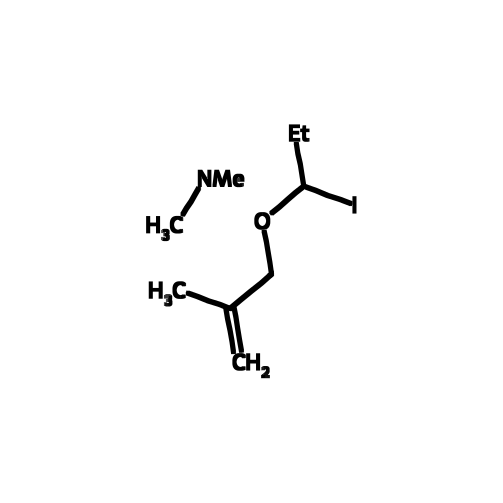 C=C(C)COC(I)CC.CNC